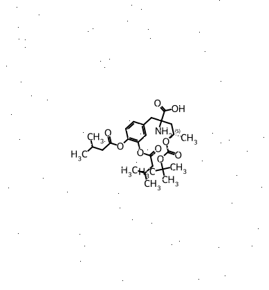 CC(C)CC(=O)Oc1ccc(CC(N)(C[C@H](C)OC(=O)OC(C)(C)C)C(=O)O)cc1OC(=O)CC(C)C